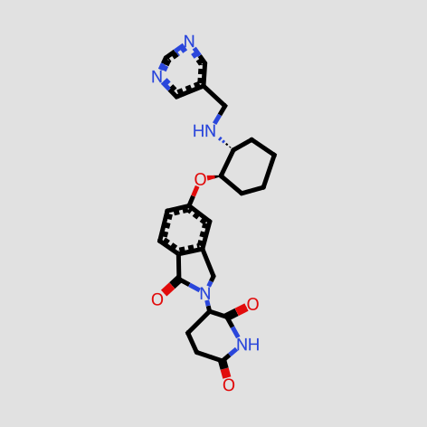 O=C1CCC(N2Cc3cc(O[C@@H]4CCCC[C@H]4NCc4cncnc4)ccc3C2=O)C(=O)N1